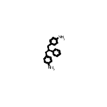 Nc1ccc(CC(Cc2ccc(N)cc2)c2ccccc2)cc1